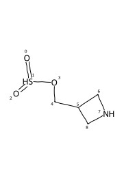 O=[SH](=O)OCC1CNC1